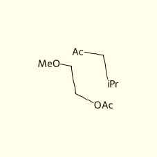 CC(=O)CC(C)C.COCCOC(C)=O